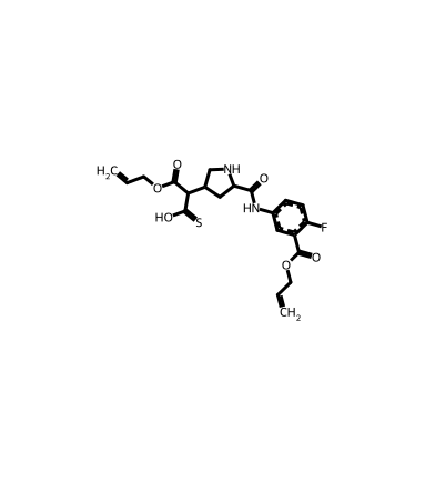 C=CCOC(=O)c1cc(NC(=O)C2CC(C(C(=O)OCC=C)C(O)=S)CN2)ccc1F